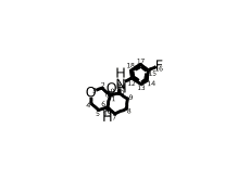 O[C@]12COCC[C@H]1CCCC2Nc1ccc(F)cc1